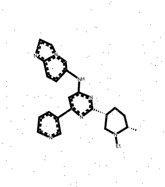 CCN1C[C@H](c2nc(Nc3ccc4nccn4c3)cc(-c3cccnc3)n2)CC[C@@H]1C